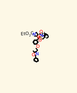 CCOC(=O)N1C[C@H](Cc2cccc(OCCc3nc(-c4ccccc4)oc3C)c2)[C@H](C(=O)N2[C@@H]3CC4CC[C@]3(CS2(=O)=O)C4(C)C)C1